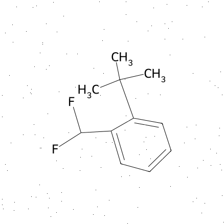 CC(C)(C)c1ccccc1C(F)F